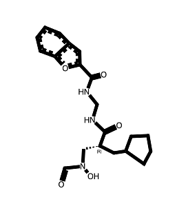 O=CN(O)C[C@@H](CC1CCCC1)C(=O)NCNC(=O)c1cc2ccccc2o1